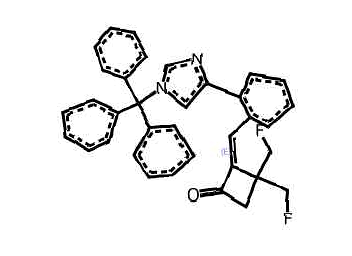 O=C1CC(CF)(CF)/C1=C\c1ccccc1-c1cn(C(c2ccccc2)(c2ccccc2)c2ccccc2)cn1